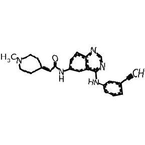 C#Cc1cccc(Nc2ncnc3ccc(NC(=O)C=C4CCN(C)CC4)cc23)c1